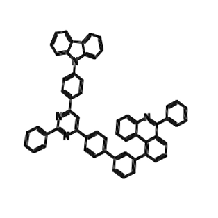 c1ccc(-c2nc(-c3ccc(-c4cccc(-c5cccc6c(-c7ccccc7)nc7ccccc7c56)c4)cc3)cc(-c3ccc(-n4c5ccccc5c5ccccc54)cc3)n2)cc1